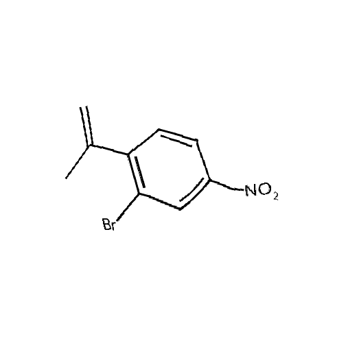 C=C(C)c1ccc([N+](=O)[O-])cc1Br